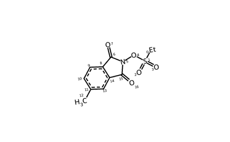 CCS(=O)(=O)ON1C(=O)c2ccc(C)cc2C1=O